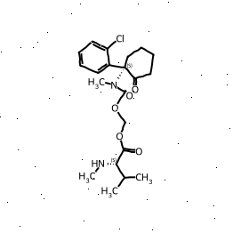 CN[C@H](C(=O)OCOC(=O)N(C)[C@]1(c2ccccc2Cl)CCCCC1=O)C(C)C